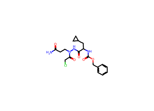 NC(=O)CCN(NC(=O)C(CC1CC1)NC(=O)OCc1ccccc1)C(=O)CCl